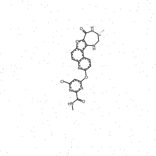 CNC(=O)c1nc(Cl)cc(Oc2ccc3c(ccc4oc5c(c43)NC[C@@H](C)NC5=O)n2)n1